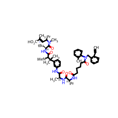 C#Cc1ccccc1CN(C(=O)CCCCC(=O)N[C@H](C(=O)N[C@@H](C)C(=O)Nc1cccc(C(C)(C)C(NC)C(=O)N[C@H](C(=O)N(C)C(/C=C(\C)C(=O)O)C(C)C)C(C)(C)C)c1)C(C)C)c1ccccc1C